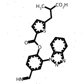 CC(Cc1ccc(C(=O)Oc2ccc(C=N)cc2-n2nnc3ccccc32)s1)C(=O)O